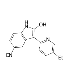 [C-]#[N+]c1ccc2[nH]c(O)c(-c3ccc(CC)cn3)c2c1